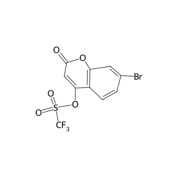 O=c1cc(OS(=O)(=O)C(F)(F)F)c2ccc(Br)cc2o1